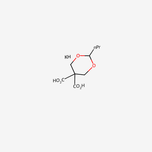 CCCC1OCC(C(=O)O)(C(=O)O)CO1.[KH]